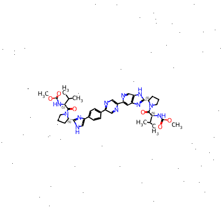 COC(=O)N[C@H](C(=O)N1CCC[C@H]1c1nc(-c2ccc(-c3cnc(-c4cc5nc([C@@H]6CCCN6C(=O)[C@@H](NC(=O)OC)C(C)C)[nH]c5cn4)cn3)cc2)c[nH]1)C(C)C